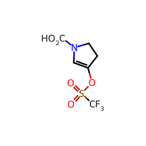 O=C(O)N1C=C(OS(=O)(=O)C(F)(F)F)CC1